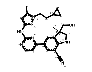 Cc1cc(Nc2nccc(-c3cc(C#N)c4c(c3)[C@@](C)(CO)CN4)n2)nn1CCC1CC1